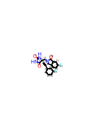 O=C1NC(=O)[C@](C#Cc2cccc(F)c2)(CN2Cc3ccc(F)cc3C2=O)N1